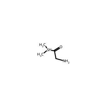 C[SH](C)C(=O)CN